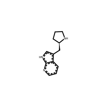 c1cnc2[nH]cc(C[C@H]3CCCN3)c2c1